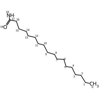 CCCCCCCCCCCCCCCCCC([NH])=O